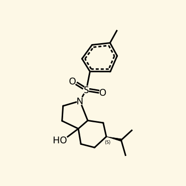 Cc1ccc(S(=O)(=O)N2CCC3(O)CC[C@H](C(C)C)CC23)cc1